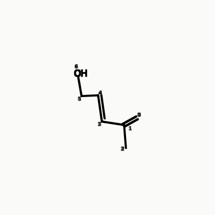 C=C(C)/C=C/CO